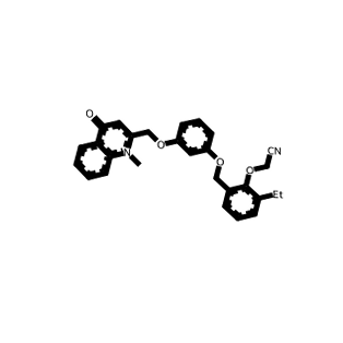 CCc1cccc(COc2cccc(OCc3cc(=O)c4ccccc4n3C)c2)c1OCC#N